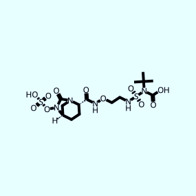 CC(C)(C)N(C(=O)O)S(=O)(=O)NCCONC(=O)[C@@H]1CC[C@@H]2CN1C(=O)N2OS(=O)(=O)O